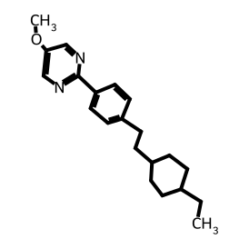 CCC1CCC(CCc2ccc(-c3ncc(OC)cn3)cc2)CC1